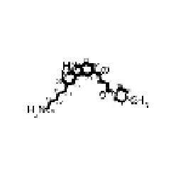 CN1CCN(C(=O)CCC(=O)c2ccc3[nH]c4ncc(CCCCCN)cc4c3c2)CC1